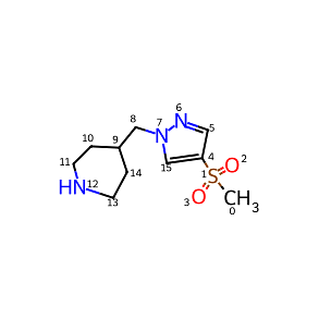 CS(=O)(=O)c1cnn(CC2CCNCC2)c1